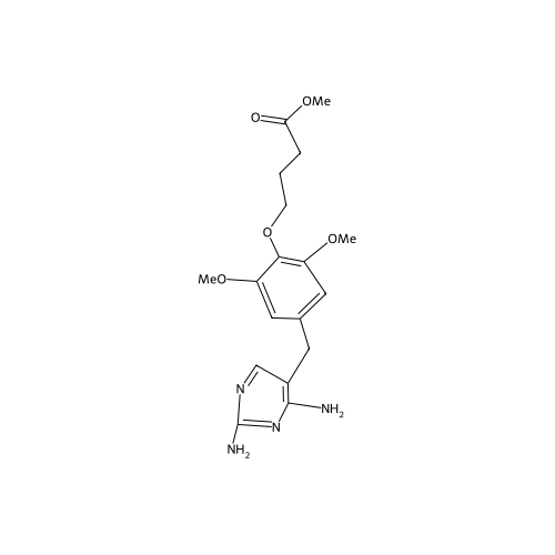 COC(=O)CCCOc1c(OC)cc(Cc2cnc(N)nc2N)cc1OC